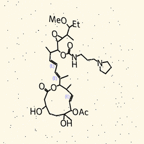 CCC(OC)C(C)C1OC1C(OC(=O)NCCCN1CCCC1)C(C)/C=C/C=C(\C)C1OC(=O)CC(O)CCC(C)(O)C(OC(C)=O)/C=C/C1C